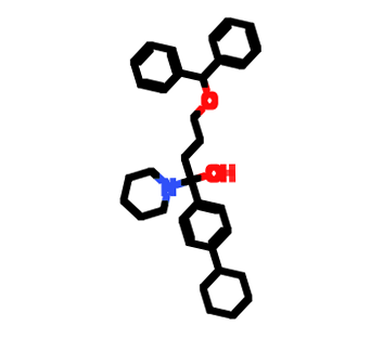 OC(CCCOC(c1ccccc1)c1ccccc1)(c1ccc(C2CCCCC2)cc1)N1CCCCC1